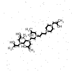 CC(O)CN(CCCN1CCN(CC(C)O)CC1)CCN(CCN(CC(C)O)C[C@@H](C)O)CC(C)O